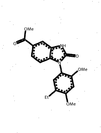 CCc1cc(-n2c(=O)[nH]c3cc(C(=O)OC)ccc32)c(OC)cc1OC